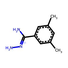 Cc1cc(C)cc(/C(N)=N/N)c1